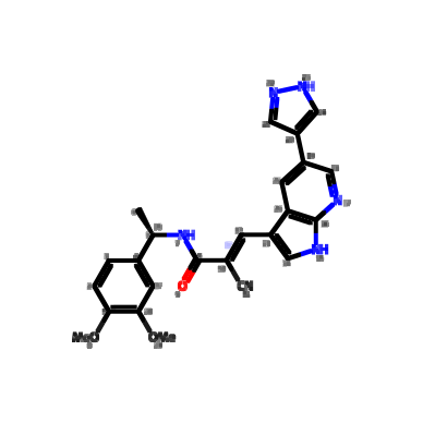 COc1ccc([C@@H](C)NC(=O)/C(C#N)=C/c2c[nH]c3ncc(-c4cn[nH]c4)cc23)cc1OC